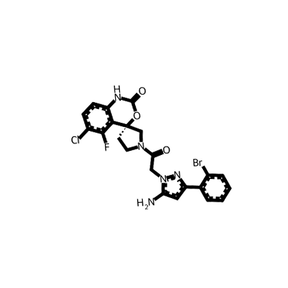 Nc1cc(-c2ccccc2Br)nn1CC(=O)N1CC[C@@]2(C1)OC(=O)Nc1ccc(Cl)c(F)c12